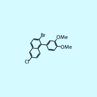 COc1ccc(-c2c(Br)ccc3cc(Cl)ccc23)cc1OC